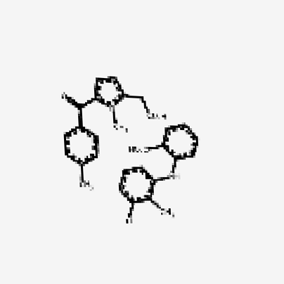 Cc1c(Cl)cccc1Nc1ccccc1C(=O)O.Cc1ccc(C(=O)c2ccc(CC(=O)O)n2C)cc1